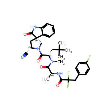 C[C@H](NC(=O)C(F)(F)Cc1ccc(F)cc1)C(=O)N(C)[C@@H](CC(C)(C)C)C(=O)N1C[C@]2(C[C@H]1C#N)C(=O)Nc1ccccc12